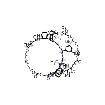 CCC1CCC(=O)OCCCCCCOC(=O)[C@H](C)CC(=O)Nc2cccc3c2/C(C2=CC=N2)=C(N)\C=C/C/C(c2cc(C(C)(C)C)cc(C(C)(C)C)c2)=C/C=C\C(N)=C(\C(=N)/C=C\C=C(\C)c2cc(C(C)(C)C)cc(C(C)(C)C)c2)c2c(cccc2NC1=O)NC(=O)CCC(=O)OCCCCCCOC(=O)[C@@H]1CC1C(=O)N3